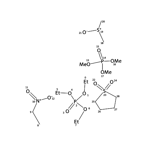 CCOP(=O)(OCC)OCC.CC[N+](=O)[O-].COP(=O)(OC)OC.C[S+](C)[O-].O=S1(=O)CCCC1